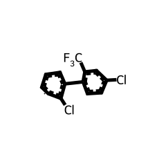 FC(F)(F)c1cc(Cl)ccc1-c1ccc[c]c1Cl